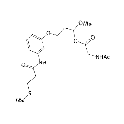 CCCCSCCC(=O)Nc1cccc(OCCC(OC)OC(=O)CNC(C)=O)c1